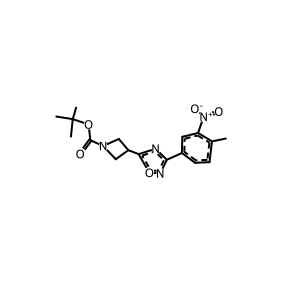 Cc1ccc(-c2noc(C3CN(C(=O)OC(C)(C)C)C3)n2)cc1[N+](=O)[O-]